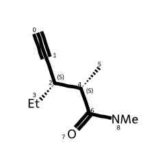 C#C[C@@H](CC)[C@H](C)C(=O)NC